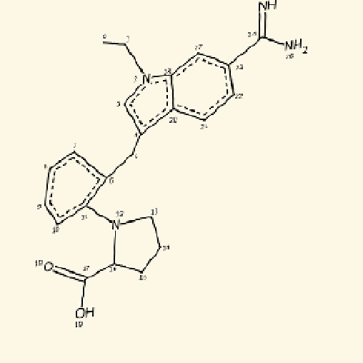 CCn1cc(Cc2ccccc2N2CCCC2C(=O)O)c2ccc(C(=N)N)cc21